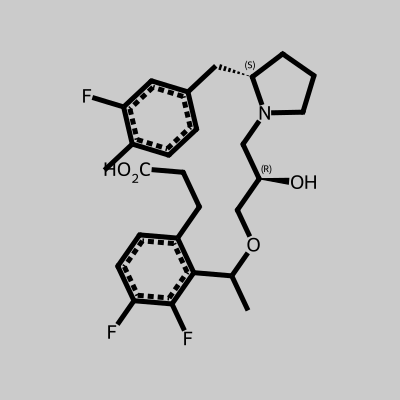 Cc1ccc(C[C@@H]2CCCN2C[C@@H](O)COC(C)c2c(CCC(=O)O)ccc(F)c2F)cc1F